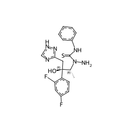 C[C@@H](N(N)C(=S)Nc1ccccc1)[C@@](O)(Cc1nc[nH]n1)c1ccc(F)cc1F